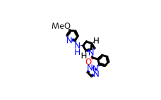 COc1ccc(N[C@@H]2C[C@@H]3C[C@@H]2N(C(=O)c2ccccc2-n2nccn2)C3)nc1